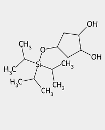 CC(C)[Si](OC1CC(O)C(O)C1)(C(C)C)C(C)C